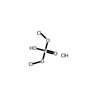 Cl.O=P(O)(OCl)OCl